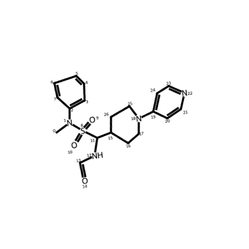 CN(c1ccccc1)S(=O)(=O)C(NC=O)C1CCN(c2ccncc2)CC1